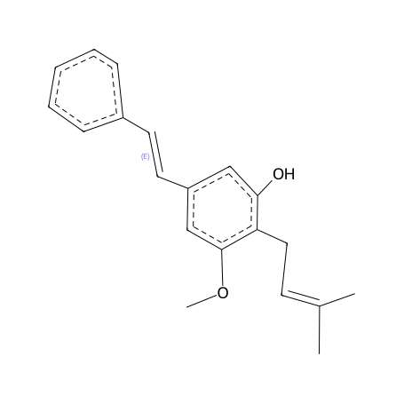 COc1cc(/C=C/c2ccccc2)cc(O)c1CC=C(C)C